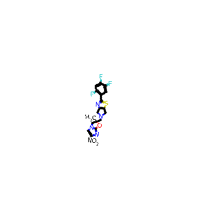 C[C@]1(CN2Cc3nc(-c4cc(F)c(F)cc4F)sc3C2)Cn2cc([N+](=O)[O-])nc2O1